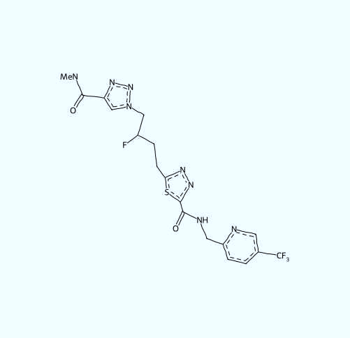 CNC(=O)c1cn(CC(F)CCc2nnc(C(=O)NCc3ccc(C(F)(F)F)cn3)s2)nn1